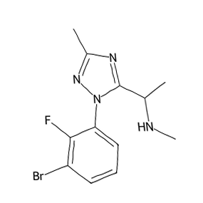 CNC(C)c1nc(C)nn1-c1cccc(Br)c1F